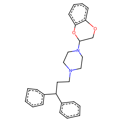 c1ccc(C(CCN2CCN(C3COc4ccccc4O3)CC2)c2ccccc2)cc1